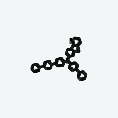 c1ccc(-c2ccc(-c3ccc(N(c4ccc(-c5ccccc5)cc4)c4ccc5c(c4)sc4cccnc45)cc3)cc2)cc1